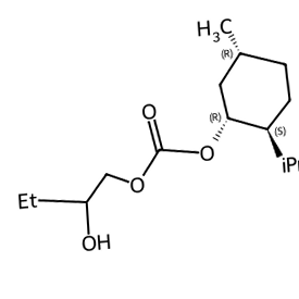 CCC(O)COC(=O)O[C@@H]1C[C@H](C)CC[C@H]1C(C)C